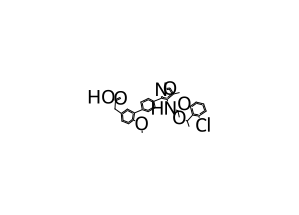 COc1ccc(CC(=O)O)cc1-c1ccc(-c2noc(C)c2NC(=O)OC(C)c2ccccc2Cl)cc1